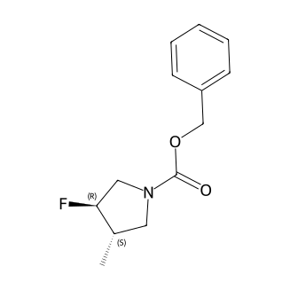 C[C@H]1CN(C(=O)OCc2ccccc2)C[C@@H]1F